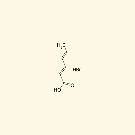 Br.CC=CC=CC(=O)O